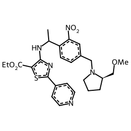 CCOC(=O)c1sc(-c2ccncc2)nc1NC(C)c1ccc(CN2CCC[C@@H]2COC)cc1[N+](=O)[O-]